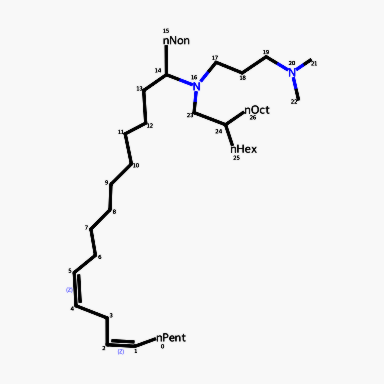 CCCCC/C=C\C/C=C\CCCCCCCCC(CCCCCCCCC)N(CCCN(C)C)CC(CCCCCC)CCCCCCCC